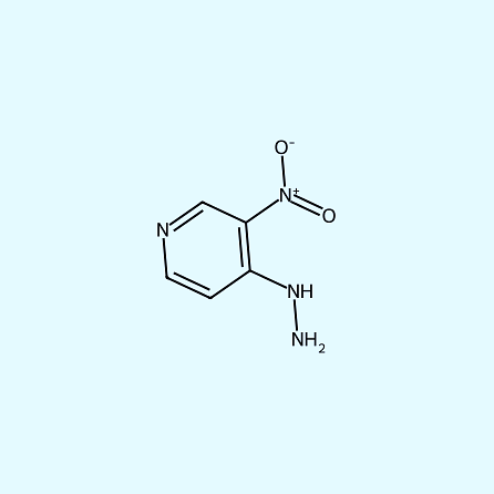 NNc1ccncc1[N+](=O)[O-]